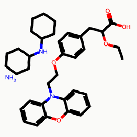 C1CCC(NC2CCCCC2)CC1.CCOC(Cc1ccc(OCCN2c3ccccc3Oc3ccccc32)cc1)C(=O)O.N